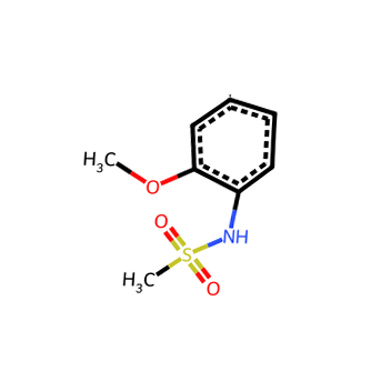 COc1c[c]ccc1NS(C)(=O)=O